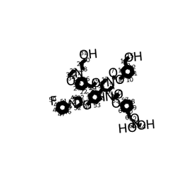 O=C(NC1CN(C(=O)Oc2cccc(CO)c2)CC(OCc2ccc3c(c2)N(CCCO)CCO3)C1c1ccc(OC2CCN(c3cccc(F)c3)C2)cc1)Oc1cccc(CON(O)O)c1